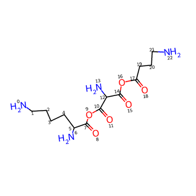 NCCCCC(N)C(=O)OC(=O)C(N)C(=O)OC(=O)CCCN